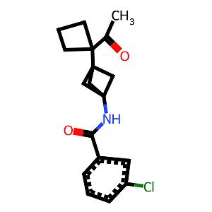 CC(=O)C1(C23CC(NC(=O)c4cccc(Cl)c4)(C2)C3)CCC1